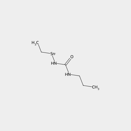 CCCNC(=O)[NH][Sn][CH2]C